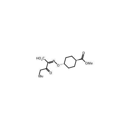 COC(=O)[C@H]1CC[C@H](ON=C(C(=O)O)C(=O)CC(C)(C)C)CC1